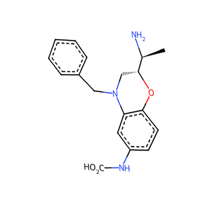 C[C@H](N)[C@H]1CN(Cc2ccccc2)c2cc(NC(=O)O)ccc2O1